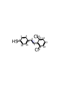 Sc1ccc(/C=C/c2c(Cl)cccc2Cl)cc1